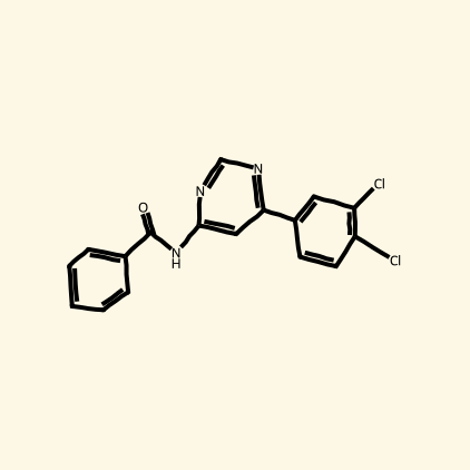 O=C(Nc1cc(-c2ccc(Cl)c(Cl)c2)ncn1)c1ccccc1